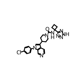 O=C(NC1(c2nn[nH]n2)CCC1)N1CCC(c2cn(-c3ccc(Cl)cc3)c3cnccc23)CC1